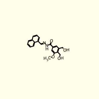 COc1cc(C(=O)N/N=C/c2cccc3ccccc23)cc(CO)c1CO